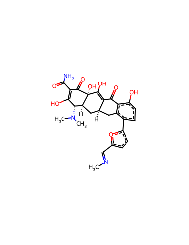 C/N=C/c1ccc(-c2ccc(O)c3c2C[C@H]2C[C@H]4[C@H](N(C)C)C(O)=C(C(N)=O)C(=O)[C@@]4(O)C(O)=C2C3=O)o1